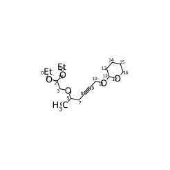 CCOC(COC(C)CC#CCOC1CCCCO1)OCC